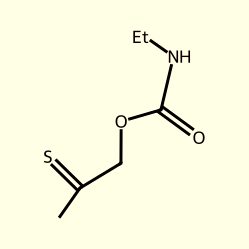 CCNC(=O)OCC(C)=S